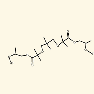 CC(C)OC(C)COC(=O)C(C)(C)OCC(C)(C)COC(C)(C)C(=O)OCC(C)OC(C)C